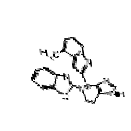 Cc1cccn2nc([C@H]3c4nc[nH]c4CCN3c3nc4ccccc4o3)cc12